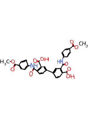 COC(=O)c1ccc(NC(=O)c2ccc(-c3ccc(C(=O)O)c(C(=O)Nc4ccc(C(=O)OC)cc4)c3)cc2C(=O)O)cc1